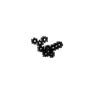 c1ccc(-c2cc(-c3ccccc3)cc(-c3cccc(-n4c5ccccc5c5c4ccc4c6cc7cc8ccccc8cc7cc6n(-c6ccccc6)c45)c3)c2)cc1